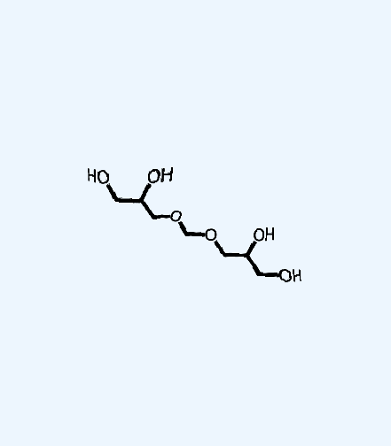 OCC(O)COCOCC(O)CO